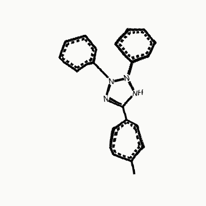 Cc1ccc(C2=NN(c3ccccc3)N(c3ccccc3)N2)cc1